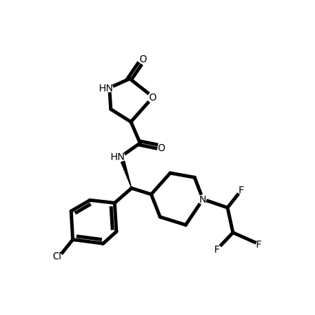 O=C1NCC(C(=O)N[C@H](c2ccc(Cl)cc2)C2CCN(C(F)C(F)F)CC2)O1